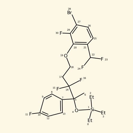 CC[Si](CC)(CC)OC(C)(c1ccc(F)cc1)C(F)(F)CCOc1c(C(F)F)ccc(Br)c1F